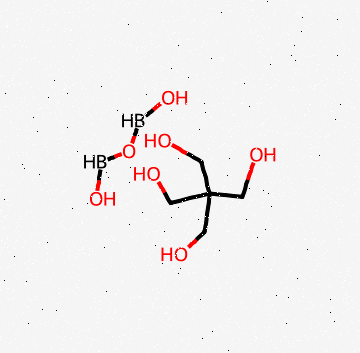 OBOBO.OCC(CO)(CO)CO